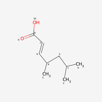 CC(C)CC(C)/C=C/C(=O)O